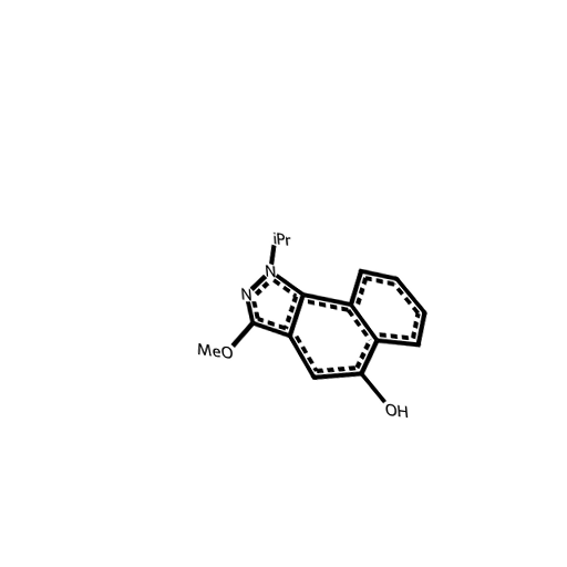 COc1nn(C(C)C)c2c1cc(O)c1ccccc12